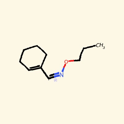 CCCO/N=[C]\C1=CCCCC1